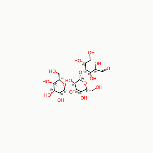 O=C[C@H](O)[C@@H](O)[C@H](O[C@@H]1O[C@H](CO)[C@H](O)[C@H](O[C@H]2O[C@H](CO)[C@H](O)[C@H](O)[C@H]2O)[C@H]1O)[C@H](O)CO